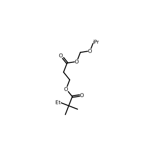 CCC(C)(C)C(=O)OCCC(=O)OCOC(C)C